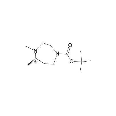 C[C@@H]1CCN(C(=O)OC(C)(C)C)CCN1C